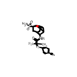 CC(C)(Oc1ccc(C#N)cc1)C(=O)NC1C2CC3CC1CC(S(N)(=O)=O)(C3)C2